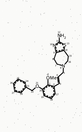 COc1c(/C=C/CN2CCc3nc(N)sc3CC2)cccc1OCc1ccccc1